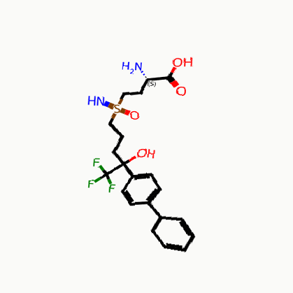 N=S(=O)(CCCC(O)(c1ccc(C2C=CC=CC2)cc1)C(F)(F)F)CC[C@H](N)C(=O)O